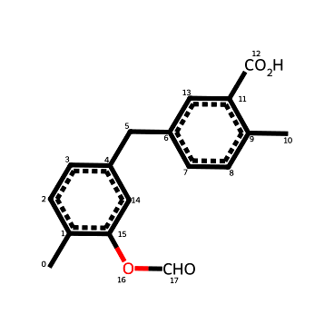 Cc1ccc(Cc2ccc(C)c(C(=O)O)c2)cc1OC=O